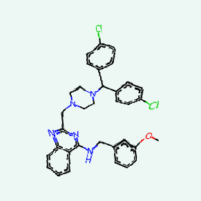 COc1cccc(CNc2nc(CN3CCN(C(c4ccc(Cl)cc4)c4ccc(Cl)cc4)CC3)nc3ccccc23)c1